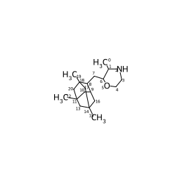 CC1NCCOC1CC1C2CC3(C)CC(C)(C2)CC1(C)C3